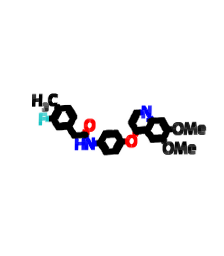 COc1cc2nccc(Oc3ccc(NC(=O)Cc4ccc(C)c(F)c4)cc3)c2cc1OC